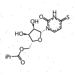 CC(C)C(=O)OC[C@H]1O[C@@H](n2ccc(=S)[nH]c2=O)[C@H](O)[C@@H]1O